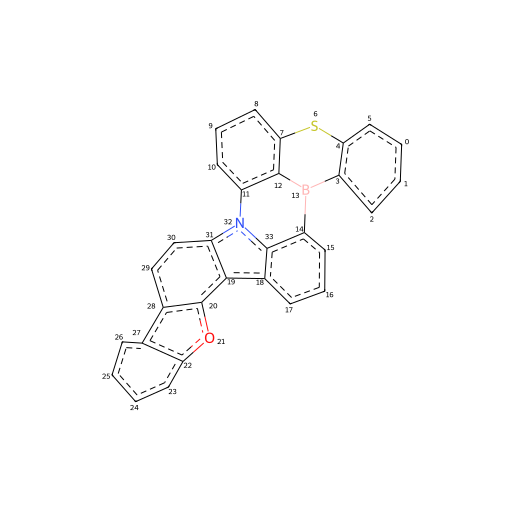 c1ccc2c(c1)Sc1cccc3c1B2c1cccc2c4c5oc6ccccc6c5ccc4n-3c12